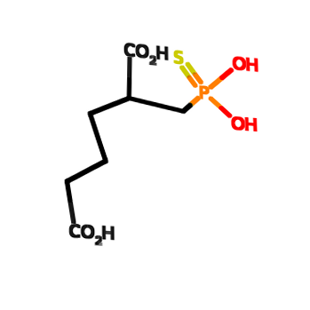 O=C(O)CCCC(CP(O)(O)=S)C(=O)O